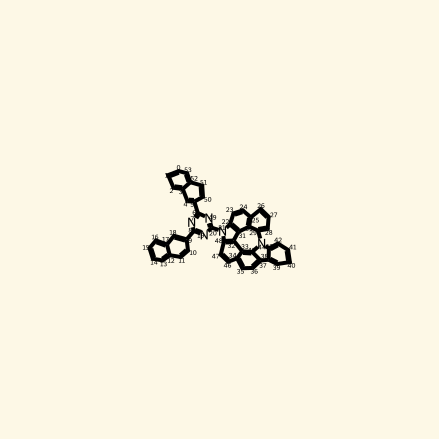 c1ccc2cc(-c3nc(-c4ccc5ccccc5c4)nc(-n4c5ccc6cccc7c6c5c5c6c(ccc8c9ccccc9n7c86)ccc54)n3)ccc2c1